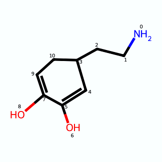 NCCC1C=C(O)C(O)=CC1